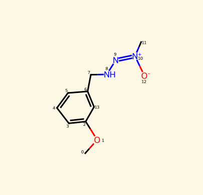 COc1cccc(CNN=[N+](C)[O-])c1